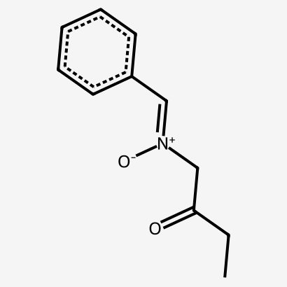 CCC(=O)C[N+]([O-])=Cc1ccccc1